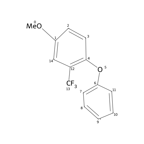 COc1ccc(Oc2cc[c]cc2)c(C(F)(F)F)c1